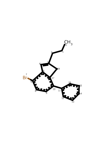 CCCC1=Cc2c(Br)ccc(-c3ccccc3)c2C1